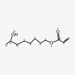 C=CC(=O)OCCCCCCC(C)O